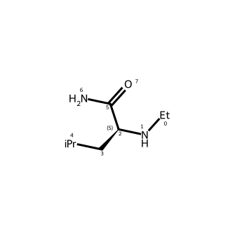 CCN[C@@H](CC(C)C)C(N)=O